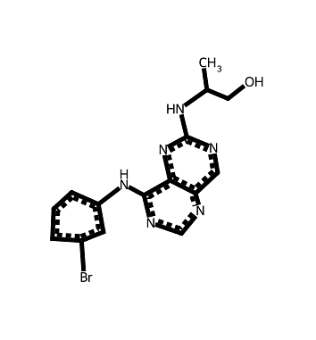 CC(CO)Nc1ncc2ncnc(Nc3cccc(Br)c3)c2n1